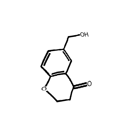 O=C1CCOc2ccc(CO)cc21